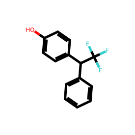 Oc1ccc(C(c2ccccc2)C(F)(F)F)cc1